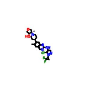 Cc1cc2cnc(Nc3cnn(C4CC4(F)F)c3Cl)nc2cc1C1CCN([C@]2(C)COC[C@@H]2O)CC1